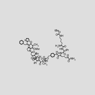 CC[C@H](C)[C@@H]([C@@H](CC(=O)N1CCC[C@H]1[C@H](OC)[C@@H](C)C(=O)N[C@@H](Cc1ccccc1)c1nccs1)OC)N(C)C(=O)[C@@H](NC(=O)C(C)(C)NC(=O)OCc1ccc(NC(=O)[C@H](CCCNC(N)=O)NC(=O)[C@@H](NC(=O)[C@@H](N)CCCCNC(=O)OC(C)(C)C)C(C)C)cc1)C(C)C